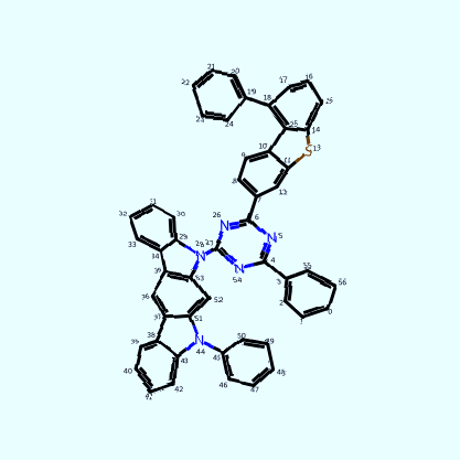 c1ccc(-c2nc(-c3ccc4c(c3)sc3cccc(-c5ccccc5)c34)nc(-n3c4ccccc4c4cc5c6ccccc6n(-c6ccccc6)c5cc43)n2)cc1